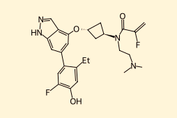 C=C(F)C(=O)N(CCN(C)C)[C@H]1C[C@H](Oc2cc(-c3cc(F)c(O)cc3CC)cc3[nH]ncc23)C1